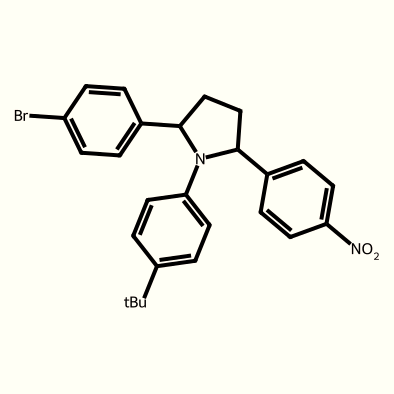 CC(C)(C)c1ccc(N2C(c3ccc(Br)cc3)CCC2c2ccc([N+](=O)[O-])cc2)cc1